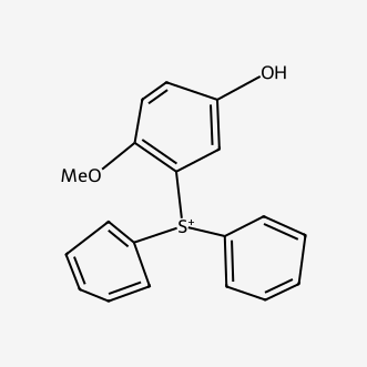 COc1ccc(O)cc1[S+](c1ccccc1)c1ccccc1